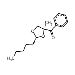 CCCCC[C@H]1OC[C@@](C)(C(=O)c2ccccc2)O1